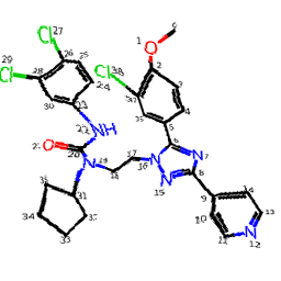 COc1ccc(-c2nc(-c3ccncc3)nn2CCN(C(=O)Nc2ccc(Cl)c(Cl)c2)C2CCCC2)cc1Cl